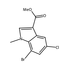 COC(=O)c1cn(C)c2c(Br)cc(Cl)cc12